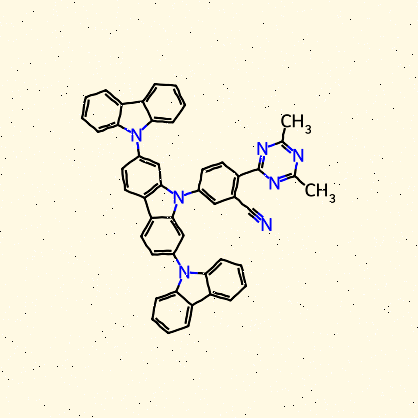 Cc1nc(C)nc(-c2ccc(-n3c4cc(-n5c6ccccc6c6ccccc65)ccc4c4ccc(-n5c6ccccc6c6ccccc65)cc43)cc2C#N)n1